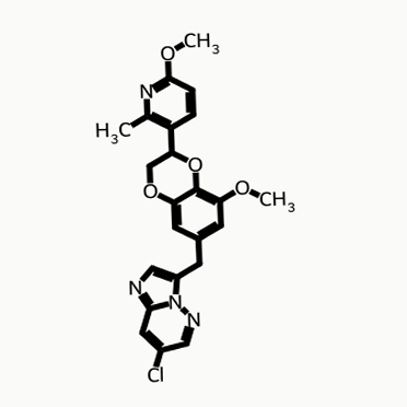 COc1ccc(C2COc3cc(Cc4cnc5cc(Cl)cnn45)cc(OC)c3O2)c(C)n1